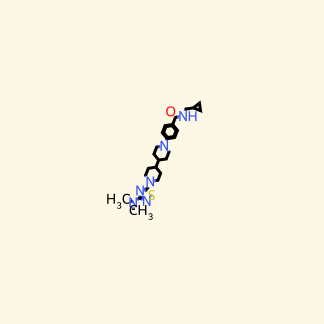 CN(C)c1nsc(N2CCC(C3CCN(c4ccc(C(=O)NCC5CC5)cc4)CC3)CC2)n1